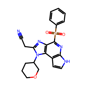 N#CCc1nc2c(S(=O)(=O)c3ccccc3)nc3[nH]ccc3c2n1C1CCCOC1